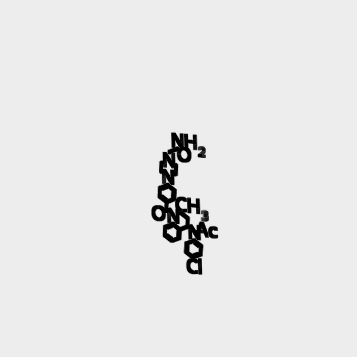 CC(=O)N(c1ccc(Cl)cc1)[C@@H]1C[C@H](C)N(C(=O)c2ccc(N3CCN(CC(N)=O)CC3)cc2)c2ccccc21